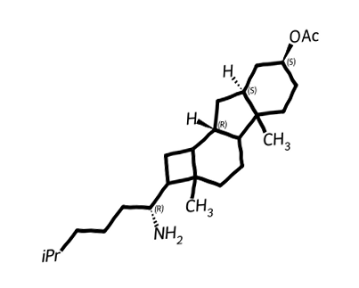 CC(=O)O[C@H]1CCC2(C)C3CCC4(C)C(CC4[C@H](N)CCCC(C)C)[C@@H]3C[C@H]2C1